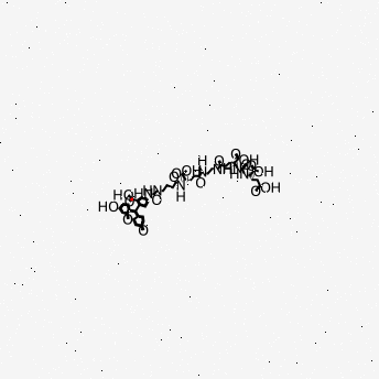 O=C(O)CC[C@H](NC(=O)N[C@@H](CCC(=O)NCCNC(=O)CC[C@H](NC(=O)CCCNC(=O)Nc1ccc(-c2c3ccc(=O)cc-3oc3cc(O)ccc23)c(C(=O)O)c1)C(=O)O)C(=O)O)C(=O)O